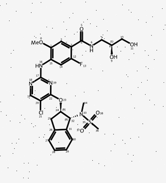 COc1cc(C(=O)NC[C@H](O)CO)c(F)cc1Nc1ncc(Cl)c(O[C@@H]2Cc3ccccc3[C@H]2N(C)S(C)(=O)=O)n1